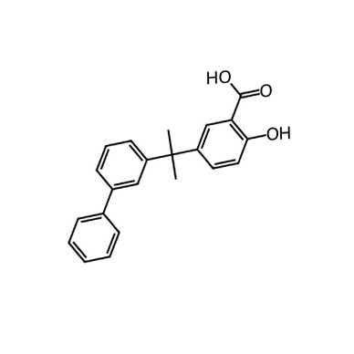 CC(C)(c1cccc(-c2ccccc2)c1)c1ccc(O)c(C(=O)O)c1